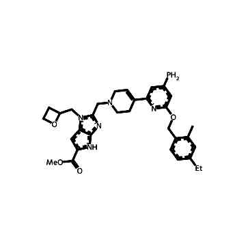 CCc1ccc(COc2cc(P)cc(C3=CCN(Cc4nc5[nH]c(C(=O)OC)cc5n4CC4CCO4)CC3)n2)c(C)c1